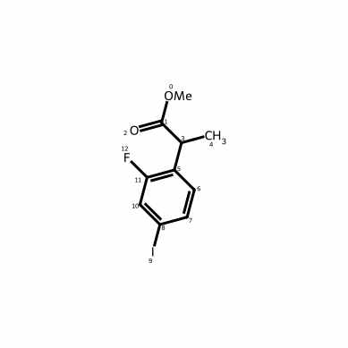 COC(=O)C(C)c1ccc(I)cc1F